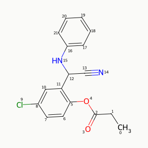 CCC(=O)Oc1ccc(Cl)cc1C(C#N)Nc1ccccc1